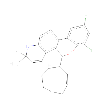 CC1=CC(C)(C)Nc2ccc3c(c21)C(C1C=CCCCCC1)Oc1c(F)cc(F)cc1-3